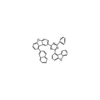 c1ccc(-c2nc(-c3ccc4oc5cccc(-c6ccc7ccccc7c6)c5c4c3)nc(-c3cccc4oc5ccccc5c34)n2)cc1